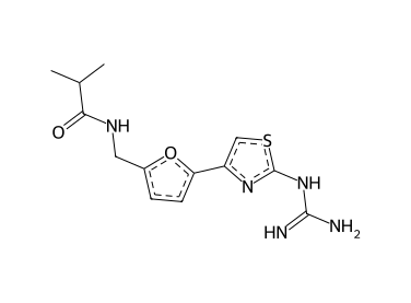 CC(C)C(=O)NCc1ccc(-c2csc(NC(=N)N)n2)o1